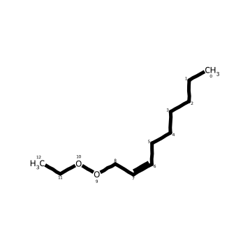 CCCCCC/C=C\COOCC